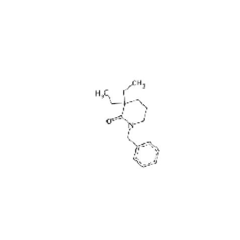 CCC1(CC)CCCN(Cc2ccccc2)C1=O